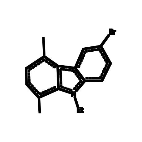 CCn1c2ccc(Br)cc2c2c(C)ccc(C)c21